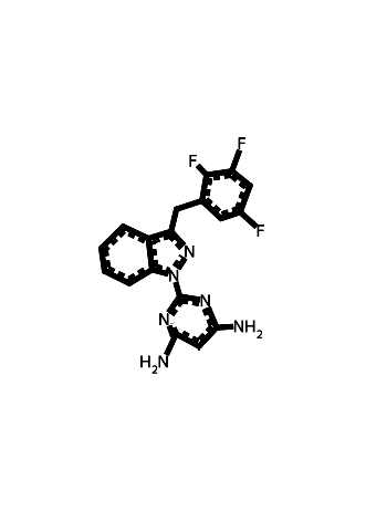 Nc1[c]c(N)nc(-n2nc(Cc3cc(F)cc(F)c3F)c3ccccc32)n1